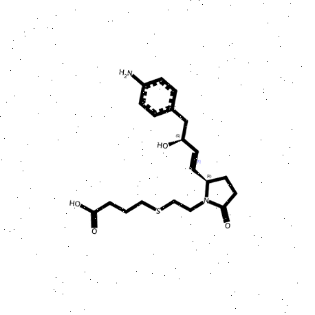 Nc1ccc(C[C@H](O)/C=C/[C@H]2CCC(=O)N2CCSCCCC(=O)O)cc1